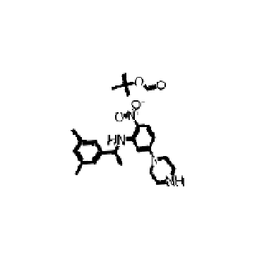 CC(C)(C)OC=O.Cc1cc(C)cc(C(C)Nc2cc(N3CCNCC3)ccc2[N+](=O)[O-])c1